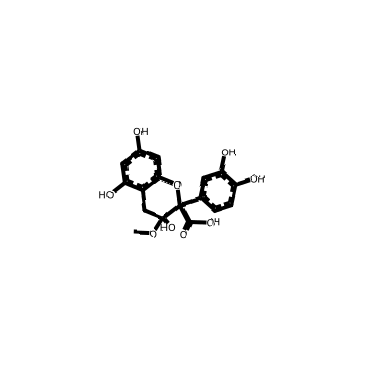 COC1(O)Cc2c(O)cc(O)cc2OC1(C(=O)O)c1ccc(O)c(O)c1